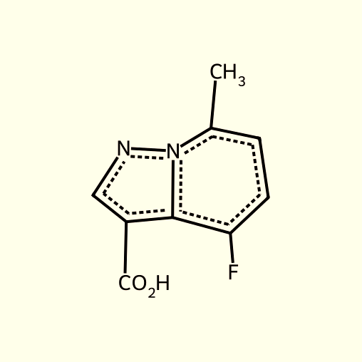 Cc1ccc(F)c2c(C(=O)O)cnn12